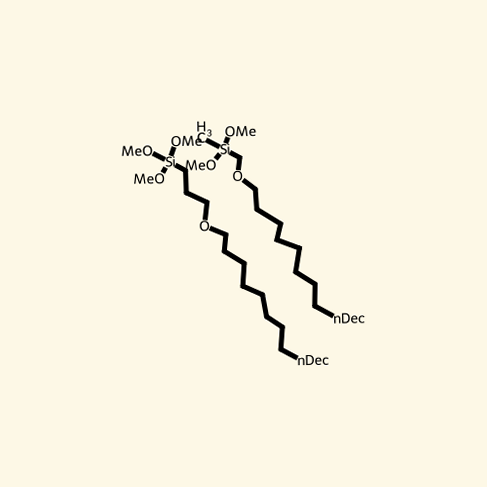 CCCCCCCCCCCCCCCCCCOCCC[Si](OC)(OC)OC.CCCCCCCCCCCCCCCCCCOC[Si](C)(OC)OC